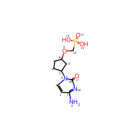 Nc1ccn(C2CCC(OCP(=O)(O)O)C2)c(=O)n1